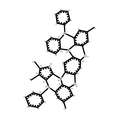 Cc1cc2c3c(c1)N(c1ccccc1)c1ccccc1B3c1cc3c(cc1O2)Oc1cc(C)cc2c1B3c1sc(C)c(C)c1N2c1ccccc1